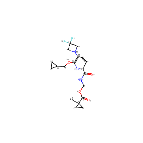 CCC1(C(=O)OCNC(=O)c2ccc(N3CC(F)(F)C3)c(OCC3CC3)n2)CC1